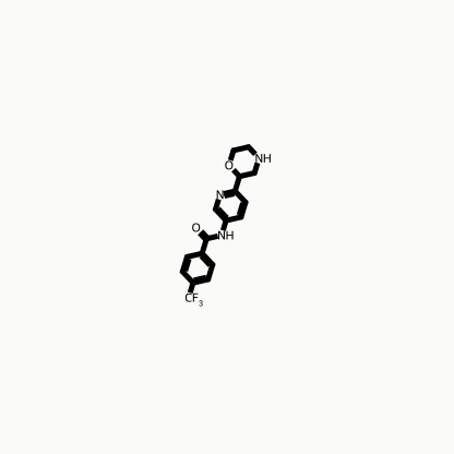 O=C(Nc1ccc(C2CNCCO2)nc1)c1ccc(C(F)(F)F)cc1